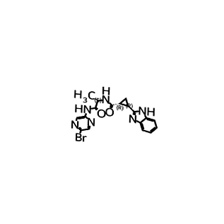 C[C@H](NC(=O)[C@@H]1C[C@H]1c1nc2ccccc2[nH]1)C(=O)Nc1cnc(Br)cn1